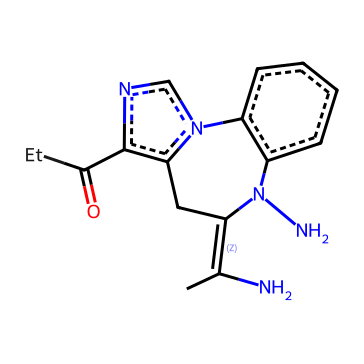 CCC(=O)c1ncn2c1C/C(=C(\C)N)N(N)c1ccccc1-2